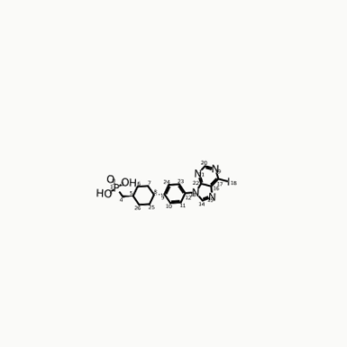 O=P(O)(O)C[C@H]1CC[C@H](c2ccc(-n3cnc4c(I)ncnc43)cc2)CC1